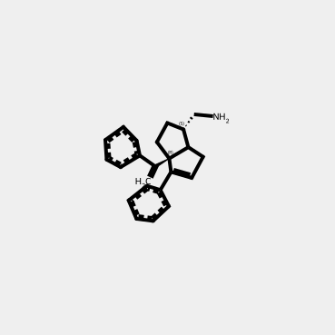 C=C(c1ccccc1)[C@@]12CC[C@H](CN)C1CC=C2c1ccccc1